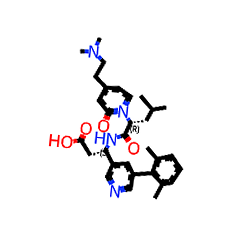 Cc1cccc(C)c1-c1cncc([C@H](CC(=O)O)NC(=O)[C@@H](CC(C)C)n2ccc(CCN(C)C)cc2=O)c1